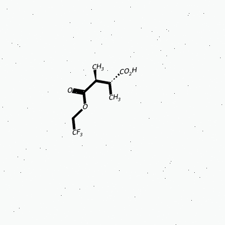 C[C@H](C(=O)OCC(F)(F)F)[C@@H](C)C(=O)O